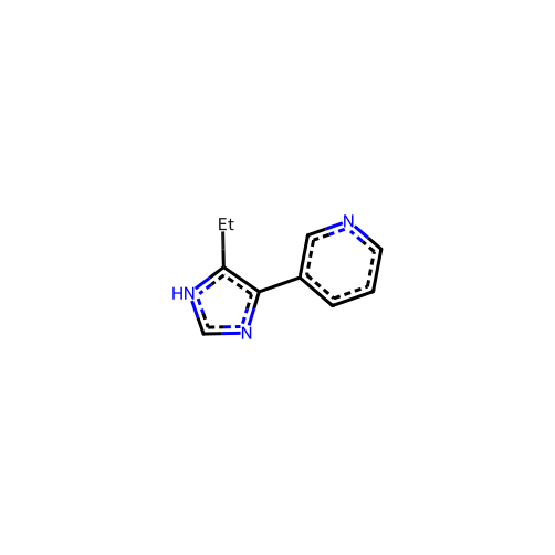 CCc1[nH]cnc1-c1cccnc1